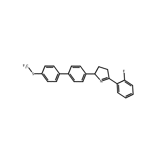 Fc1ccccc1C1=NC(c2ccc(-c3ccc(SC(F)(F)F)cc3)cc2)CC1